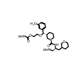 CNC[C@H](CC1CCCOC1)NC(=O)N1CCC[C@@H](C(OCCOC(=O)NC)c2cccc(C)c2)C1